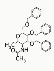 CC(=O)N[C@H]1C(C)O[C@H](COCc2ccccc2)[C@@H](OCc2ccccc2)[C@@H]1OCc1ccccc1